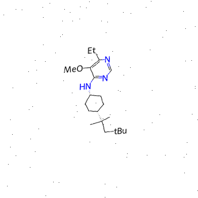 CCc1ncnc(N[C@H]2CC[C@@H](C(C)(C)CC(C)(C)C)CC2)c1OC